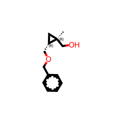 C[C@@]1(CO)C[C@H]1COCc1ccccc1